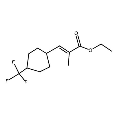 CCOC(=O)/C(C)=C/C1CCC(C(F)(F)F)CC1